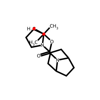 CC(C)(C)OC(=O)N1C2CCC1CC(N1CCCC1)C2